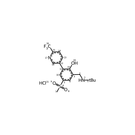 CC(C)(C)NCc1cc(S(C)(=O)=O)cc(-c2ccc(C(F)(F)F)nc2)c1O.Cl